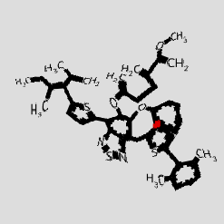 C=C/C(C)=C(\C(=C)C)c1ccc(-c2c(OC(=C)/C=C\C(=C)C(=C)OC)c(Oc3ccccc3)c(-c3ccc(-c4c(C)cccc4C)s3)c3nsnc23)s1